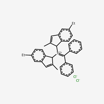 CCc1ccc2c(c1)C=C(C)[CH]2[Ti+2](=[C](c1ccccc1)c1ccccc1)[CH]1C(C)=Cc2cc(CC)ccc21.[Cl-].[Cl-]